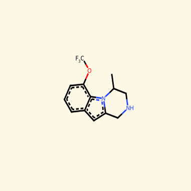 CC1CNCc2cc3cccc(OC(F)(F)F)c3n21